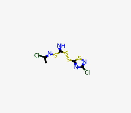 C/C(Cl)=N\SC(=N)SSc1nc(Cl)ns1